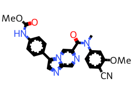 COC(=O)Nc1ccc(-c2cnc3cnc(C(=O)N(C)c4ccc(C#N)c(OC)c4)cn23)cc1